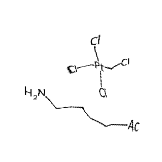 CC(=O)CCCN.[Cl][Pt]([Cl])([Cl])[Cl]